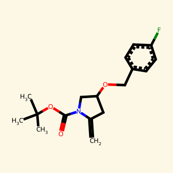 C=C1CC(OCc2ccc(F)cc2)CN1C(=O)OC(C)(C)C